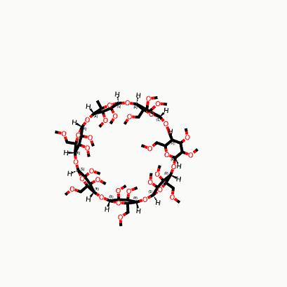 COCC1O[C@H]2O[C@@H]3C(COC)O[C@H](O[C@@H]4C(COC)O[C@@H](O[C@@H]5C(COC)O[C@H](O[C@@H]6C(COC)O[C@@H](O[C@@H]7C(COC)O[C@H](O[C@@H]8C(C)O[C@@H](O[C@H]1C(OC)C2OC)C(OC)C8OC)C(OC)C7OC)C(OC)C6OC)C(OC)C5OC)C(OC)C4OC)C(OC)C3OC